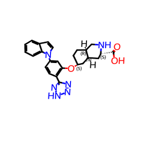 O=C(O)[C@@H]1C[C@H]2C[C@@H](Oc3cc(-n4ccc5ccccc54)ccc3-c3nn[nH]n3)CC[C@H]2CN1